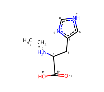 C.C.NC(Cc1c[nH]cn1)C(=O)O